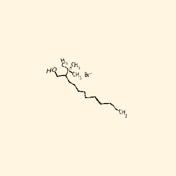 CCCCCCCCCCC(CO)[N+](C)(C)C.[Br-]